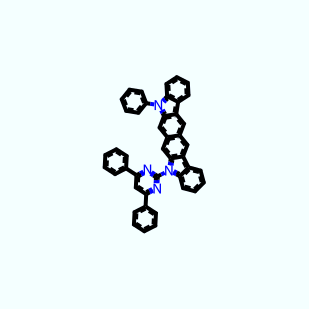 c1ccc(-c2cc(-c3ccccc3)nc(-n3c4ccccc4c4cc5cc6c7ccccc7n(-c7ccccc7)c6cc5cc43)n2)cc1